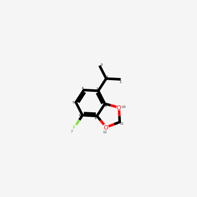 CC(C)c1ccc(F)c2c1OCO2